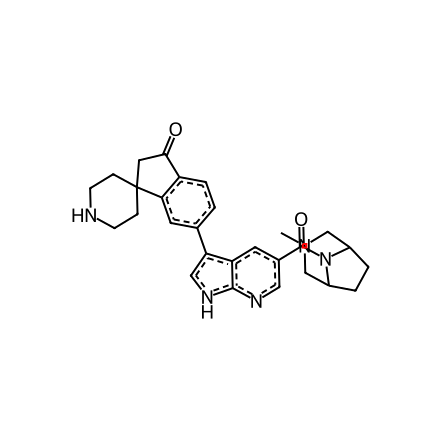 CN1CC2CCC(C1)N2C(=O)c1cnc2[nH]cc(-c3ccc4c(c3)C3(CCNCC3)CC4=O)c2c1